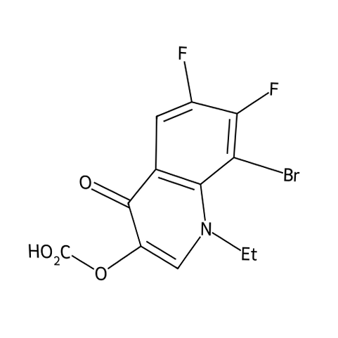 CCn1cc(OC(=O)O)c(=O)c2cc(F)c(F)c(Br)c21